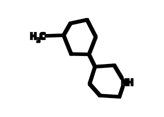 CC1CCCC(C2CCCNC2)C1